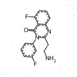 NCCc1nc2cccc(F)c2c(=O)n1-c1cccc(F)c1